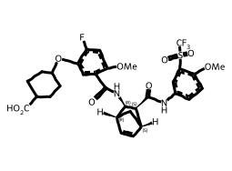 COc1cc(F)c(OC2CCC(C(=O)O)CC2)cc1C(=O)N[C@H]1[C@@H](C(=O)Nc2ccc(OC)c(S(=O)(=O)C(F)(F)F)c2)[C@@H]2C=C[C@H]1C2